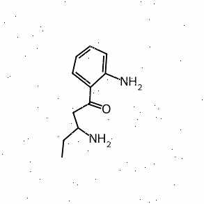 CCC(N)CC(=O)c1ccccc1N